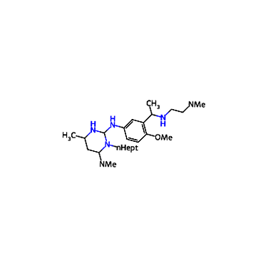 CCCCCCCN1C(NC)CC(C)NC1Nc1ccc(OC)c(C(C)NCCNC)c1